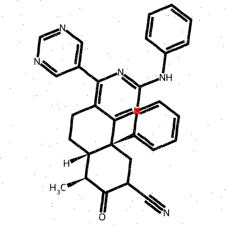 C[C@@H]1C(=O)C(C#N)C[C@@]2(c3ccccc3)c3nc(Nc4ccccc4)nc(-c4cncnc4)c3CC[C@@H]12